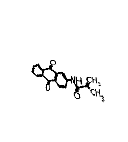 C=C(C)C(=O)Nc1ccc2c(c1)C(=O)c1ccccc1C2=O